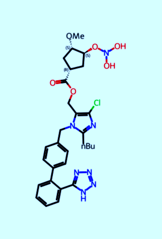 CCCCc1nc(Cl)c(COC(=O)[C@@H]2C[C@H](OC)[C@@H](ON(O)O)C2)n1Cc1ccc(-c2ccccc2-c2nnn[nH]2)cc1